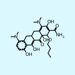 CCCCOC1C(C(N)=O)=C(O)C(N(C)C)=C2CC3Cc4c(N(C)C)ccc(O)c4C(O)=C3C(=O)C21O